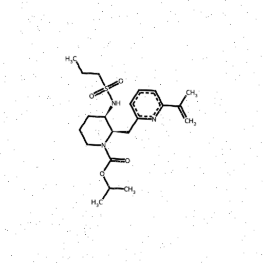 C=C(C)c1cccc(C[C@@H]2[C@H](NS(=O)(=O)CCC)CCCN2C(=O)OC(C)C)n1